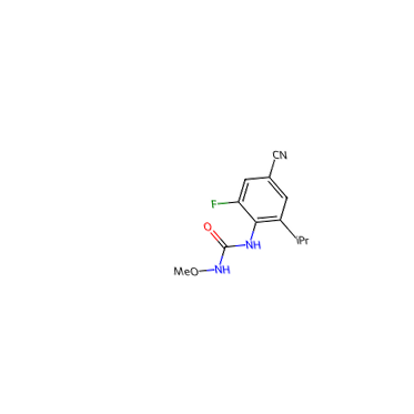 CONC(=O)Nc1c(F)cc(C#N)cc1C(C)C